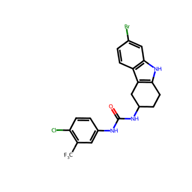 O=C(Nc1ccc(Cl)c(C(F)(F)F)c1)NC1CCc2[nH]c3cc(Br)ccc3c2C1